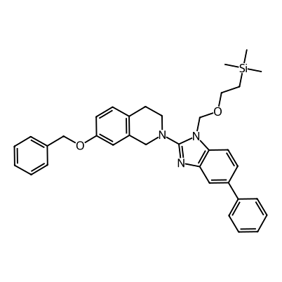 C[Si](C)(C)CCOCn1c(N2CCc3ccc(OCc4ccccc4)cc3C2)nc2cc(-c3ccccc3)ccc21